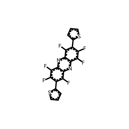 Fc1c(-c2cccs2)c(F)c2nc3c(F)c(F)c(-c4cccs4)c(F)c3nc2c1F